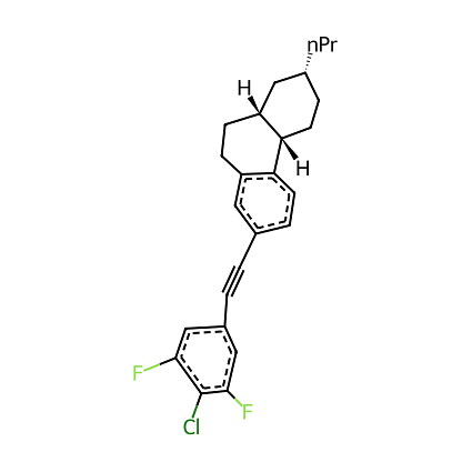 CCC[C@@H]1CC[C@@H]2c3ccc(C#Cc4cc(F)c(Cl)c(F)c4)cc3CC[C@@H]2C1